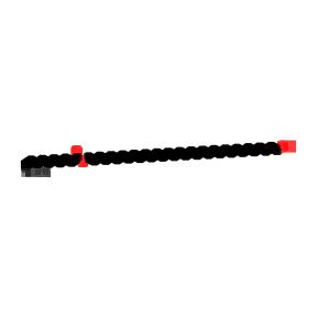 CCCCCC/C=C\CCCCCCCC(=O)OCCCCCCCCCCCCCCCCCCCCCCCCCCCCCCCCCCO